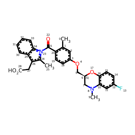 Cc1cc(OC[C@@H]2CN(C)c3cc(F)ccc3O2)ccc1C(=O)n1c(C)c(CC(=O)O)c2ccccc21